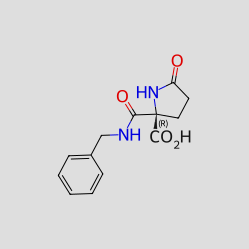 O=C1CC[C@](C(=O)O)(C(=O)NCc2ccccc2)N1